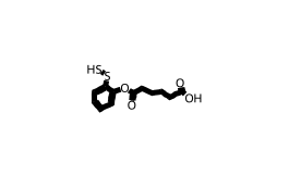 O=C(O)CCCCC(=O)Oc1ccccc1SS